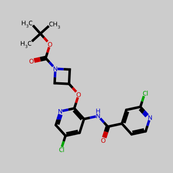 CC(C)(C)OC(=O)N1CC(Oc2ncc(Cl)cc2NC(=O)c2ccnc(Cl)c2)C1